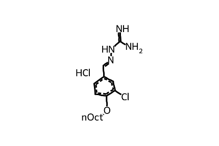 CCCCCCCCOc1ccc(C=NNC(=N)N)cc1Cl.Cl